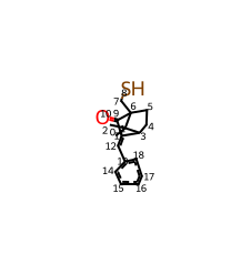 CC1(C)C2CCC1(CS)C(=O)C2=Cc1ccccc1